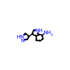 Nc1cccc2c(-c3cn[nH]c3)c[nH]c12